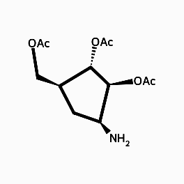 CC(=O)OC[C@@H]1C[C@H](N)[C@H](OC(C)=O)[C@H]1OC(C)=O